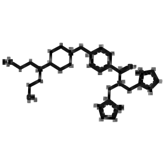 CCCN(CCC)C1CCN(Cc2ccc(C(=O)N(Cc3ncc[nH]3)Cc3ncc[nH]3)cc2)CC1